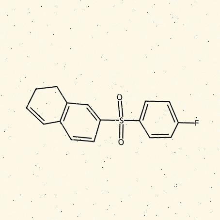 O=S(=O)(c1ccc(F)cc1)c1ccc2c(c1)CCC=C2